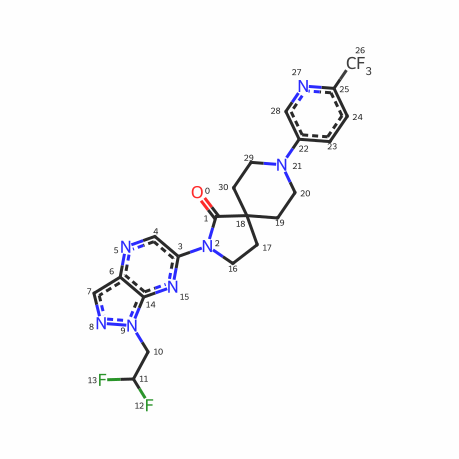 O=C1N(c2cnc3cnn(CC(F)F)c3n2)CCC12CCN(c1ccc(C(F)(F)F)nc1)CC2